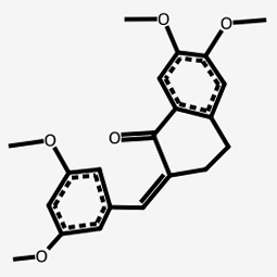 COc1cc(C=C2CCc3cc(OC)c(OC)cc3C2=O)cc(OC)c1